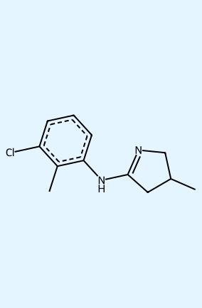 Cc1c(Cl)cccc1NC1=NCC(C)C1